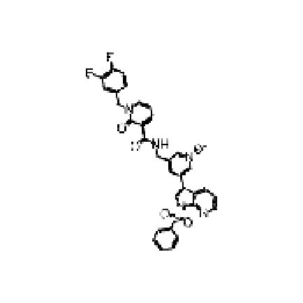 O=C(NCc1cc(-c2cn(S(=O)(=O)c3ccccc3)c3ncccc23)c[n+]([O-])c1)c1cccn(Cc2ccc(F)c(F)c2)c1=O